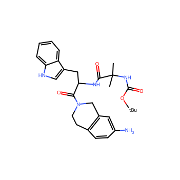 CC(C)(C)OC(=O)NC(C)(C)C(=O)NC(Cc1c[nH]c2ccccc12)C(=O)N1CCc2ccc(N)cc2C1